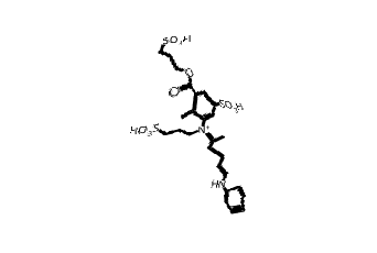 CC(/C=C/C=C/Nc1ccccc1)=[N+](/CCCS(=O)(=O)O)c1cc(S(=O)(=O)O)cc(C(=O)OCCCS(=O)(=O)O)c1C